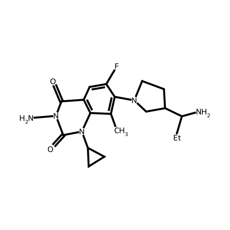 CCC(N)C1CCN(c2c(F)cc3c(=O)n(N)c(=O)n(C4CC4)c3c2C)C1